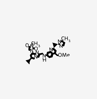 COCc1cc([C@H]2C[C@@H]2c2nccc(C)n2)nc2cc(NCc3cn4cc(C5CC5)cc(N5CC(=O)N(C)C5=O)c4n3)ccc12